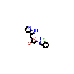 O=C1C=C(NCc2ccccc2F)O/C1=C\c1c[nH]c2ncccc12